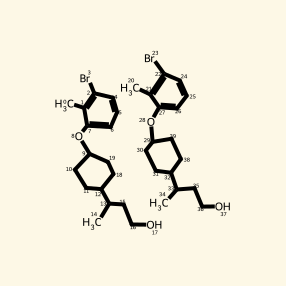 Cc1c(Br)cccc1OC1CCC(C(C)CCO)CC1.Cc1c(Br)cccc1OC1CCC(C(C)CCO)CC1